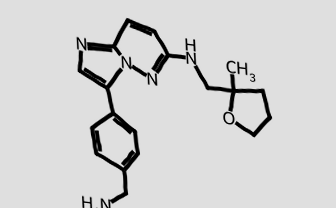 CC1(CNc2ccc3ncc(-c4ccc(CN)cc4)n3n2)CCCO1